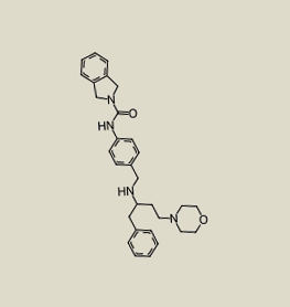 O=C(Nc1ccc(CNC(CCN2CCOCC2)Cc2ccccc2)cc1)N1Cc2ccccc2C1